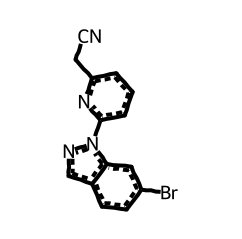 N#CCc1cccc(-n2ncc3ccc(Br)cc32)n1